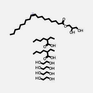 CCCCC(CC)C(=O)O.CCCCC(CC)C(=O)O.CCCCCCCC/C=C\CCCCCCCC(=O)OCC(O)CO.OCCO.OCCO.OCCO.OCCO